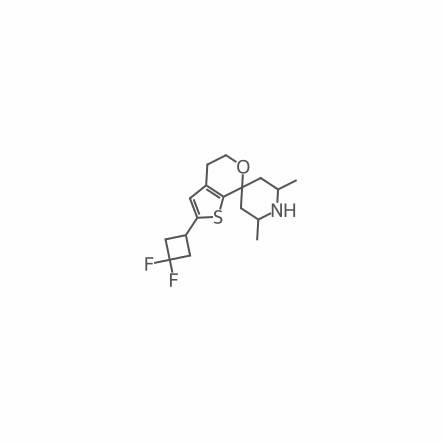 CC1CC2(CC(C)N1)OCCc1cc(C3CC(F)(F)C3)sc12